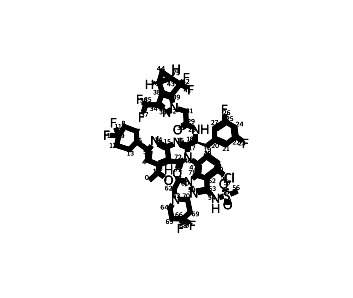 CC(O)c1cc(C2CCC(F)(F)CC2)nc2nc([C@H](Cc3cc(F)cc(F)c3)NC(=O)Cn3nc(C(F)F)c4c3C(F)(F)[C@@H]3C[C@H]43)n(-c3ccc(Cl)c4c(NS(C)(=O)=O)nn(CCN5CCC(F)(F)CC5)c34)c(=O)c12